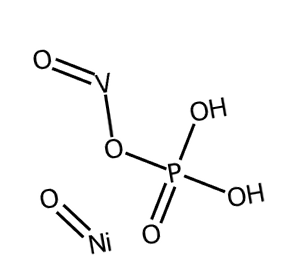 [O]=[Ni].[O]=[V][O]P(=O)(O)O